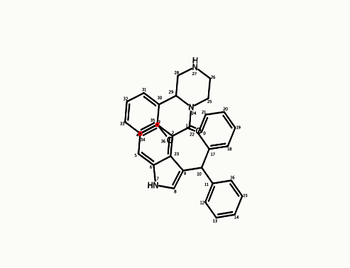 O=C(c1cccc2[nH]cc(C(c3ccccc3)c3ccccc3)c12)N1CCNCC1c1ccccc1Cl